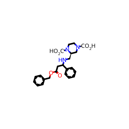 O=C(CC(NC[C@@H]1CN(C(=O)O)CCN1C(=O)O)c1ccccc1)OCc1ccccc1